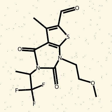 COCCn1c(=O)n(C(C)C(F)(F)F)c(=O)c2c(C)c(C=O)sc21